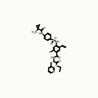 C=Cc1cc(C(=O)N[C@@H](Cc2cccnc2)C(=O)OCC)c(F)cc1NS(=O)(=O)c1ccc(NC(=O)C2(N)CC2)cc1